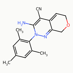 Cc1cc(C)c(N2N=C3COCC=C3C(C#N)=C2N)c(C)c1